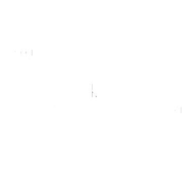 O=C(O)CCSc1cc2ccc(Cl)cc2[nH]1